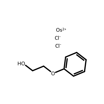 OCCOc1ccccc1.[Cl-].[Cl-].[Os+2]